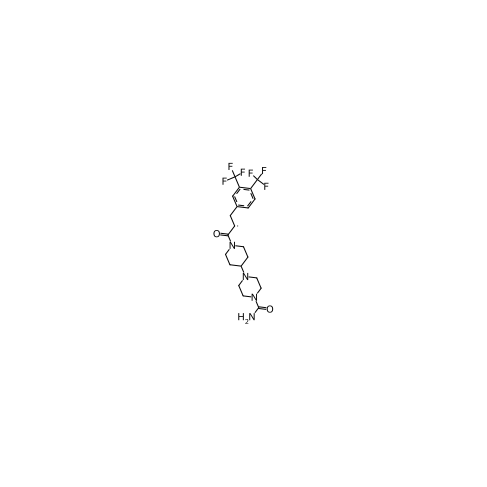 NC(=O)N1CCN(C2CCN(C(=O)[CH]Cc3ccc(C(F)(F)F)c(C(F)(F)F)c3)CC2)CC1